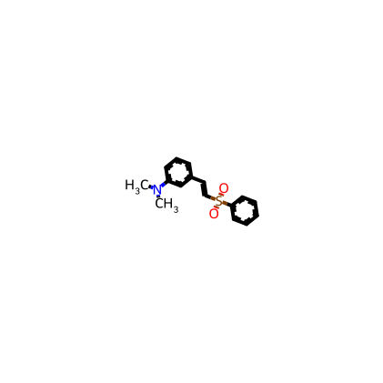 CN(C)c1cccc(C=CS(=O)(=O)c2ccccc2)c1